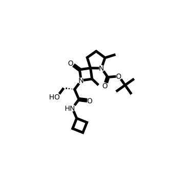 CC1CCC2(C(=O)N([C@@H](CO)C(=O)NC3CCC3)C2C)N1C(=O)OC(C)(C)C